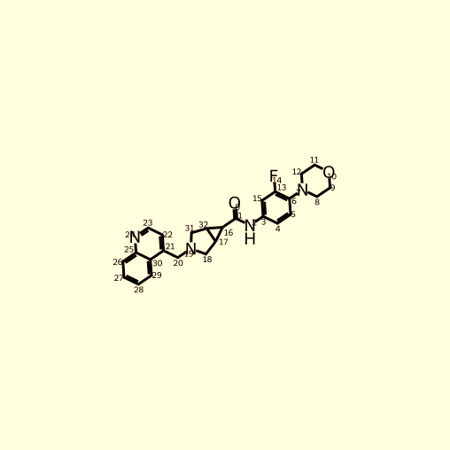 O=C(Nc1ccc(N2CCOCC2)c(F)c1)C1C2CN(Cc3ccnc4ccccc34)CC21